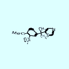 COc1ccc(C(C)(C)c2cncs2)cc1[N+](=O)[O-]